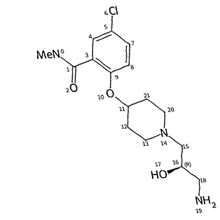 CNC(=O)c1cc(Cl)ccc1OC1CCN(C[C@H](O)CN)CC1